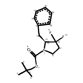 CC(C)(C)OC(=O)N1CCC(F)(F)[C@@H]1Cc1ccccc1